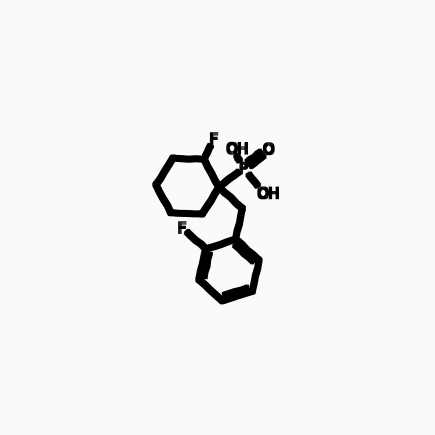 O=P(O)(O)C1(Cc2ccccc2F)CCCCC1F